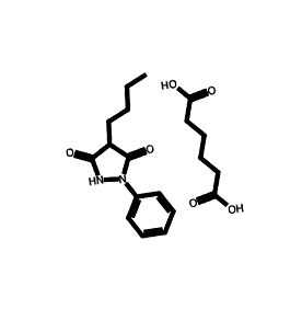 CCCCC1C(=O)NN(c2ccccc2)C1=O.O=C(O)CCCCC(=O)O